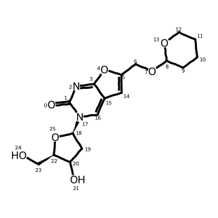 O=c1nc2oc(COC3CCCCO3)cc2cn1[C@H]1CC(O)[C@@H](CO)O1